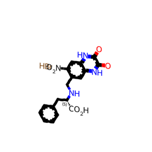 Br.O=C(O)[C@H](Cc1ccccc1)NCc1cc2[nH]c(=O)c(=O)[nH]c2cc1[N+](=O)[O-]